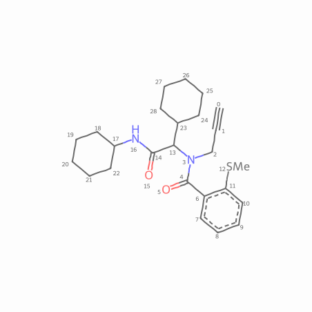 C#CCN(C(=O)c1ccccc1SC)C(C(=O)NC1CCCCC1)C1CCCCC1